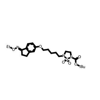 CCO/N=C1\CCc2cc(OCCCCCN3CCN(C(=O)OC(C)(C)C)S3(=O)=O)ccc21